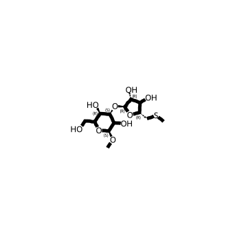 CO[C@H]1OC(CO)[C@@H](O)[C@H](O[C@@H]2O[C@@H](CSC)C(O)[C@H]2O)C1O